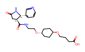 CN1C(=O)C[C@H](C(=O)NCCO[C@H]2CC[C@H](OCCCC(=O)O)CC2)[C@H]1c1cccnc1